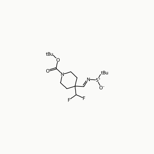 CC(C)(C)OC(=O)N1CCC(/C=N/[S+]([O-])C(C)(C)C)(C(F)F)CC1